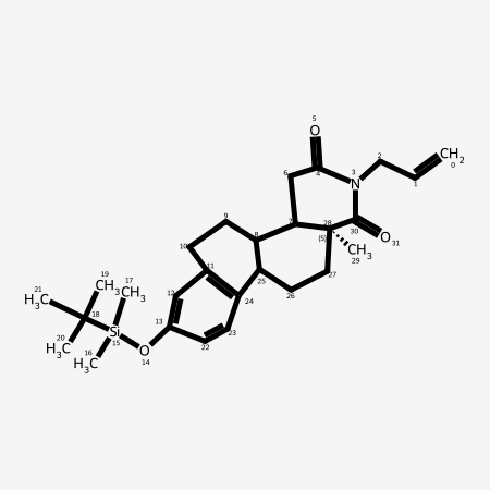 C=CCN1C(=O)CC2C3CCc4cc(O[Si](C)(C)C(C)(C)C)ccc4C3CC[C@]2(C)C1=O